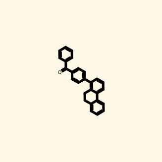 O=C(c1ccccc1)c1ccc(-c2cccc3c2CCc2ccccc2-3)cc1